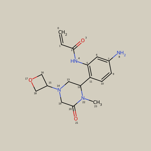 C=CC(=O)Nc1cc(N)ccc1C1CN(C2COC2)CC(=O)N1C